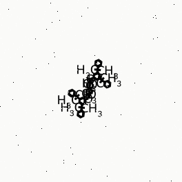 CC(C)(c1ccccc1)c1cc(OP2OCC3(CO2)COP(Oc2cc(C(C)(C)c4ccccc4)cc(C(C)(C)c4ccccc4)c2)OC3)cc(C(C)(C)c2ccccc2)c1